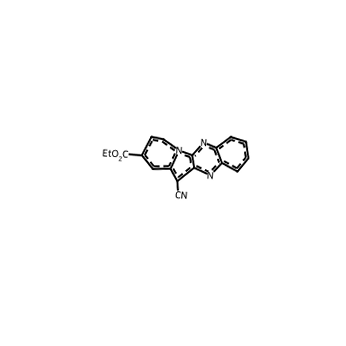 CCOC(=O)c1ccn2c(c1)c(C#N)c1nc3ccccc3nc12